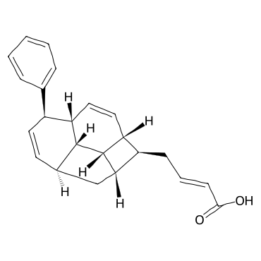 O=C(O)/C=C/C[C@@H]1[C@H]2C=C[C@@H]3[C@@H]4[C@H]2[C@H]1C[C@H]4C=C[C@H]3c1ccccc1